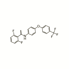 C=C(Nc1ccc(Oc2ccc(C(F)(F)F)cc2)cc1)c1c(F)cccc1F